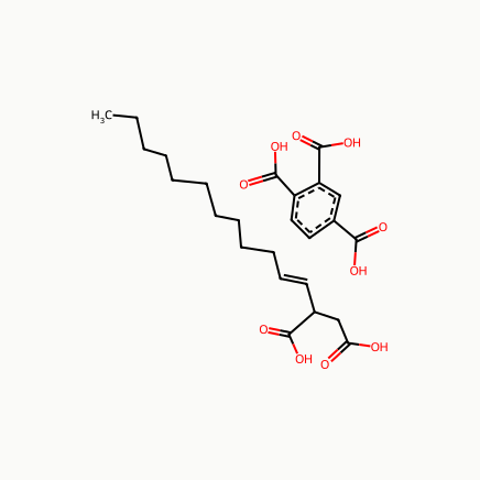 CCCCCCCCCCC=CC(CC(=O)O)C(=O)O.O=C(O)c1ccc(C(=O)O)c(C(=O)O)c1